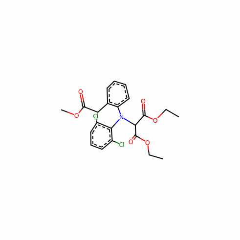 CCOC(=O)C(C(=O)OCC)N(c1ccccc1CC(=O)OC)c1c(Cl)cccc1Cl